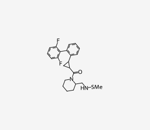 CSNCC1CCCCN1C(=O)C1CC1c1ccccc1-c1c(F)cccc1F